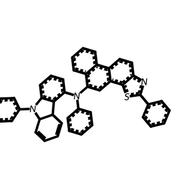 C1=CC2c3c(N(c4ccccc4)c4cc5c(ccc6nc(-c7ccccc7)sc65)c5ccccc45)cccc3N(c3ccccc3)C2C=C1